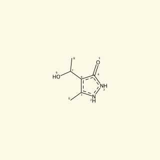 Cc1[nH][nH]c(=O)c1C(C)O